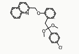 COC(Cc1[c]cccc1OCc1ccc2ccccc2n1)(OC)c1ccc(Cl)cc1